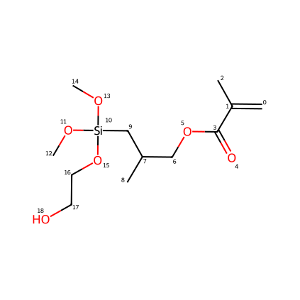 C=C(C)C(=O)OCC(C)C[Si](OC)(OC)OCCO